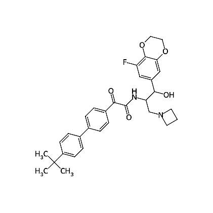 CC(C)(C)c1ccc(-c2ccc(C(=O)C(=O)NC(CN3CCC3)C(O)c3cc(F)c4c(c3)OCCO4)cc2)cc1